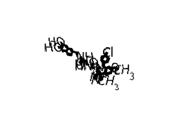 COc1ccc2c(c1)C(c1ccc(Cl)cc1)=N[C@@H](CC(=O)NCC(=O)NCCc1ccc3cc(O)c(O)cc3c1)c1nnc(C)n1-2